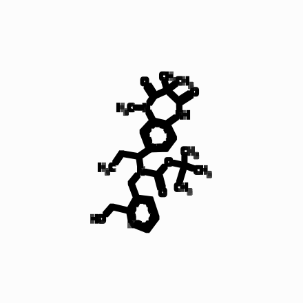 CCC(c1ccc2c(c1)N(C)C(=O)C(C)(C)C(=O)N2)N(Cc1cccnc1CO)C(=O)OC(C)(C)C